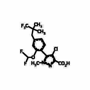 Cn1nc(C(=O)O)c(Cl)c1-c1ccc(CC(C)(C)C(F)(F)F)cc1OC(F)F